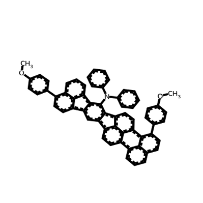 COc1ccc(-c2ccc3c4cc5c6ccc7c8cccc9ccc(-c%10ccc(OC)cc%10)c(c%10ccc(c5c(N(c5ccccc5)c5ccccc5)c4c4cccc2c34)c6c7%10)c98)cc1